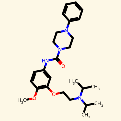 COc1ccc(NC(=O)N2CCN(c3ccccc3)CC2)cc1OCCN(C(C)C)C(C)C